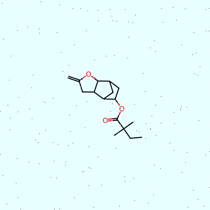 C=C1CC2C3CC(CC3OC(=O)C(C)(C)CC)C2O1